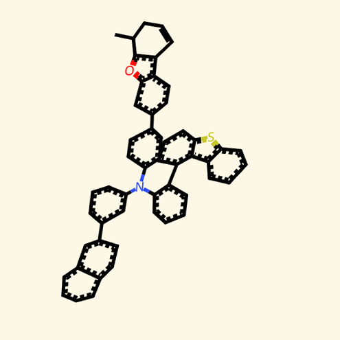 CC1CC=Cc2c1oc1cc(-c3ccc(N(c4cccc(-c5ccc6ccccc6c5)c4)c4ccccc4-c4cccc5sc6ccccc6c45)cc3)ccc21